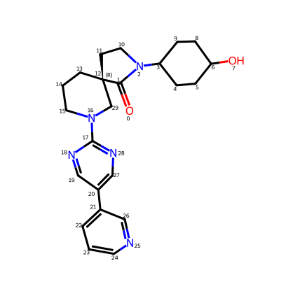 O=C1N(C2CCC(O)CC2)CC[C@@]12CCCN(c1ncc(-c3cccnc3)cn1)C2